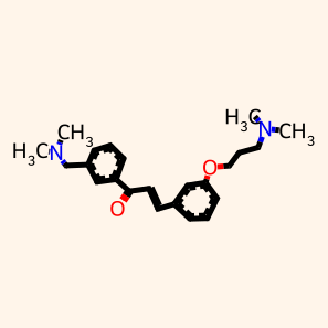 CN(C)CCCOc1cccc(C=CC(=O)c2cccc(CN(C)C)c2)c1